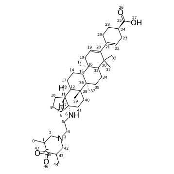 CC1CN(CCN[C@]23CCC[C@@H]2[C@H]2CCC4[C@@]5(C)CC=C(C6=CC[C@H](C(=O)O)CC6)C(C)(C)C5CC[C@@]4(C)[C@]2(C)CC3)CC(C)S1(=O)=O